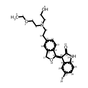 CCOCCN(CCO)CCc1ccc2c(c1)CO/C2=C1/C(=O)Nc2ccc(F)cc21